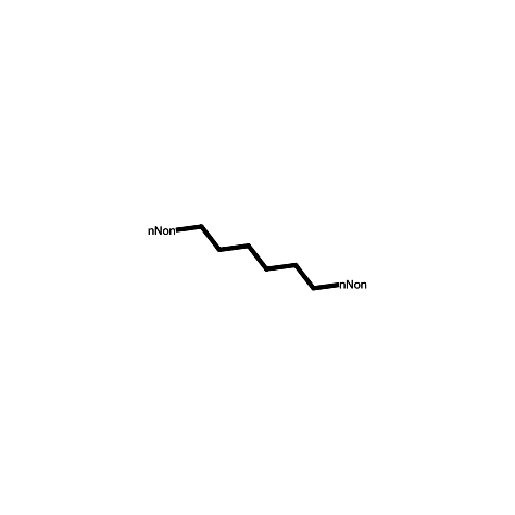 CCCCCCC[CH]CCCCCCCCCCCCCCCC